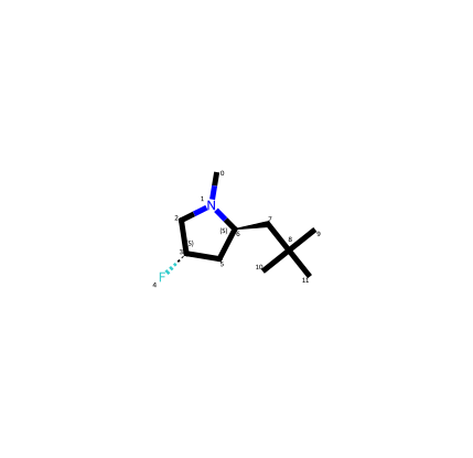 CN1C[C@@H](F)C[C@@H]1CC(C)(C)C